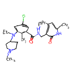 CCCc1cc(C)[nH]c(=O)c1CNC(=O)c1cc(Cl)cc(N(CC)C2CCN(C)CC2)c1C